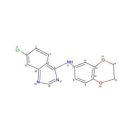 Clc1ccc2c(Nc3ccc4c(c3)OCCO4)ncnc2c1